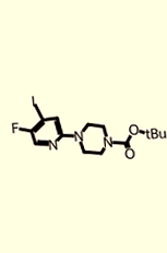 CC(C)(C)OC(=O)N1CCN(c2cc(I)c(F)cn2)CC1